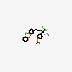 CC(CCCc1ccc(F)c(Oc2ccccc2)c1)(c1ccc(OC(F)F)cc1)C(F)F